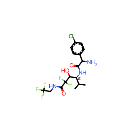 CC(C)[C@H](NC(=O)C(N)c1ccc(Cl)cc1)C(O)C(F)(F)C(=O)NCC(F)(F)F